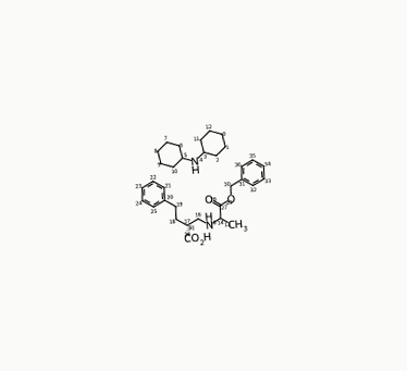 C1CCC(NC2CCCCC2)CC1.CC(NC[C@@H](CCc1ccccc1)C(=O)O)C(=O)OCc1ccccc1